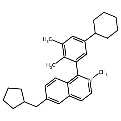 Cc1cc(C2CCCCC2)cc(-c2c3ccc(CC4CCCC4)cc3cc[n+]2C)c1C